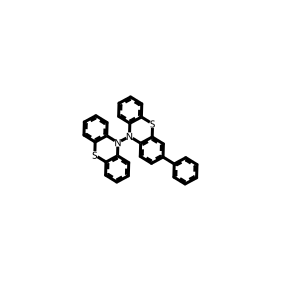 c1ccc(-c2ccc3c(c2)Sc2ccccc2N3N2c3ccccc3Sc3ccccc32)cc1